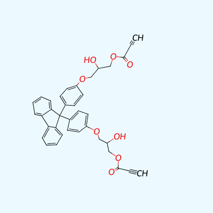 C#CC(=O)OCC(O)COc1ccc(C2(c3ccc(OCC(O)COC(=O)C#C)cc3)c3ccccc3-c3ccccc32)cc1